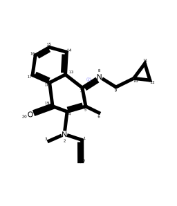 C=CN(C)C1=C(C)/C(=N\CC2CC2)c2ccccc2C1=O